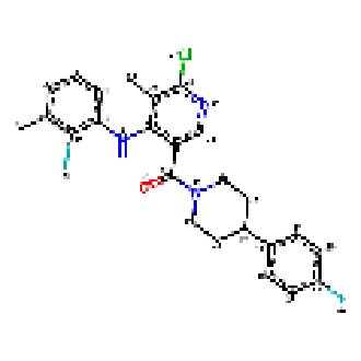 Cc1cccc(Nc2c(C(=O)N3CCC(c4ccc(F)cc4)CC3)cnc(Cl)c2C)c1F